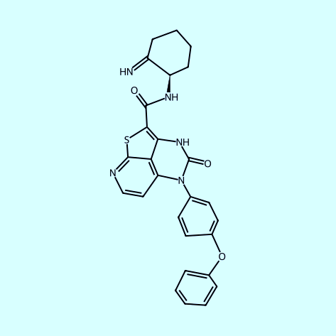 N=C1CCCC[C@H]1NC(=O)c1sc2nccc3c2c1NC(=O)N3c1ccc(Oc2ccccc2)cc1